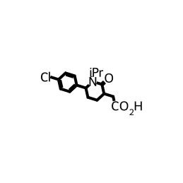 CC(C)N1C(=O)C(CC(=O)O)CCC1c1ccc(Cl)cc1